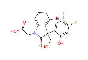 O=C(O)CN1C(=O)C(CO)(c2cc(F)c(F)cc2O)c2c(Br)cccc21